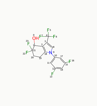 OC1c2c(C(F)(F)F)cn(-c3cc(F)cc(F)c3)c2CCC1(F)F